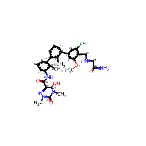 COc1cc(-c2cccc(-c3cccc(NC(=O)C4=NN(C)C(=O)N(C)C4O)c3C)c2C)cc(F)c1CNCC(N)=O